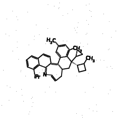 Cc1cc(C)c2c(c1)\C1=c3/ccc4cccc(C(C)C)c4/c3=N/C=C/CC1CC2(C1CC1)[C@H]1CCC1C